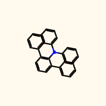 c1ccc(-c2cccc(-c3ccccc3)c2N(c2ccccc2)c2ccccc2)cc1